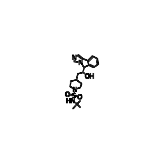 CC(C)(C)NS(=O)(=O)N1CCC(CC(O)C2c3ccccc3-c3cncn32)CC1